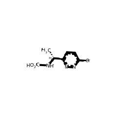 C[C@@H](NC(=O)O)c1ccc(Br)nn1